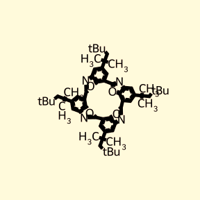 CC(C)(C)CC(C)(C)c1cc2c3oc(nc3c1)-c1cc(C(C)(C)CC(C)(C)C)cc3nc(oc13)-c1cc(C(C)(C)CC(C)(C)C)cc3nc(oc13)-c1cc(C(C)(C)CC(C)(C)C)cc3nc-2oc13